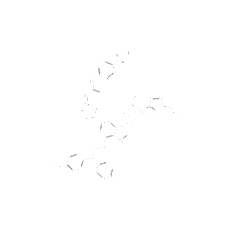 CCn1nnc([C@H]2O[C@@H](n3cnc4c(NCC(c5ccc(O)cc5)c5ccc(O)cc5)nc(N5CC[C@@H](NC(=O)Nc6ccc(S(N)(=O)=O)cc6)C5)nc43)[C@H](O)[C@@H]2O)n1